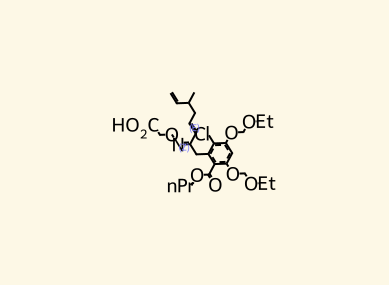 C=CC(C)C/C=C/C(Cc1c(Cl)c(OCOCC)cc(OCOCC)c1C(=O)OCCC)=N\OCC(=O)O